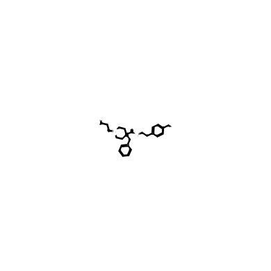 CCc1ccc(CCNC(=O)C2(Cc3ccccc3)CCN(C(=O)CC(C)C)CC2)cc1